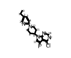 CCc1ccc(N2CCC(n3cc(F)c4c(Cl)ncnc43)CC2)nc1